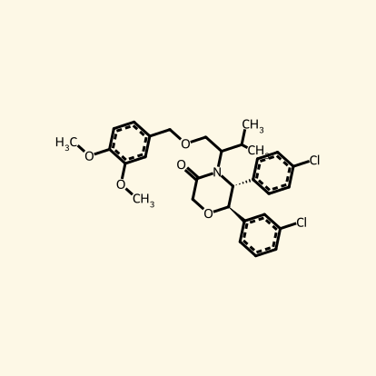 COc1ccc(COCC(C(C)C)N2C(=O)CO[C@H](c3cccc(Cl)c3)[C@H]2c2ccc(Cl)cc2)cc1OC